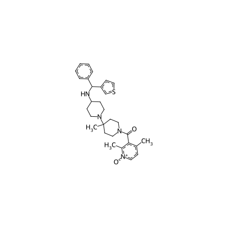 Cc1cc[n+]([O-])c(C)c1C(=O)N1CCC(C)(N2CCC(NC(c3ccccc3)c3ccsc3)CC2)CC1